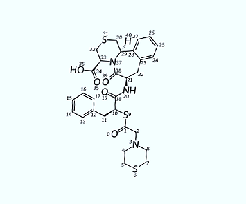 O=C(CN1CCSCC1)S[C@@H](Cc1ccccc1)C(=O)N[C@@H]1Cc2ccccc2[C@@H]2CSC[C@H](C(=O)O)N2C1=O